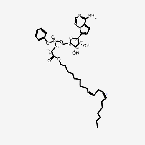 CCCCCC/C=C\C/C=C\CCCCCCCCOC(=O)[C@H](C)NP(=O)(OC[C@H]1O[C@@H](c2ccc3c(N)ncnn23)[C@H](O)[C@@H]1O)Oc1ccccc1